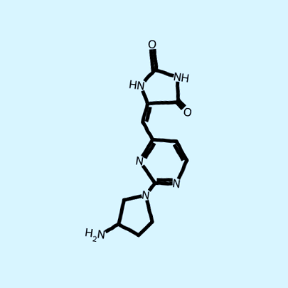 NC1CCN(c2nccc(/C=C3/NC(=O)NC3=O)n2)C1